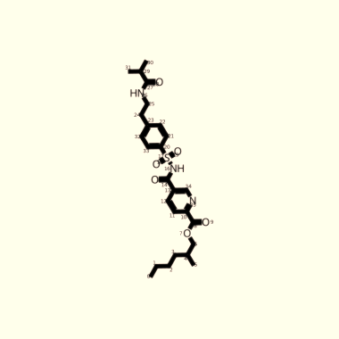 CCCCC(C)COC(=O)c1ccc(C(=O)NS(=O)(=O)c2ccc(CCNC(=O)C(C)C)cc2)cn1